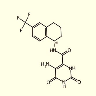 Nc1c(C(=O)N[C@H]2CCCc3cc(C(F)(F)F)ccc32)[nH]c(=O)[nH]c1=O